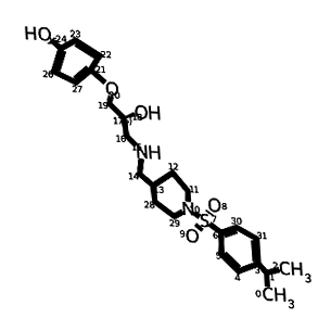 CC(C)c1ccc(S(=O)(=O)N2CCC(CNC[C@H](O)COc3ccc(O)cc3)CC2)cc1